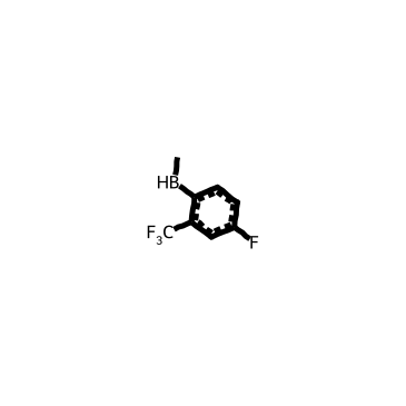 CBc1ccc(F)cc1C(F)(F)F